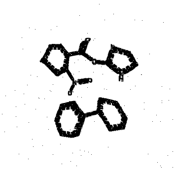 O=C(Oc1ncc[nH]1)c1ccccc1[N+](=O)[O-].c1ccc(-c2ccccc2)cc1